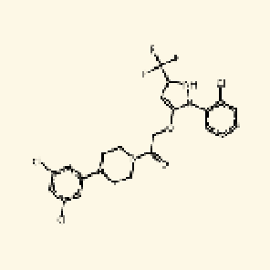 O=C(COC1=CC(C(F)(F)F)NN1c1ccccc1Cl)N1CCN(c2cc(Cl)cc(Cl)c2)CC1